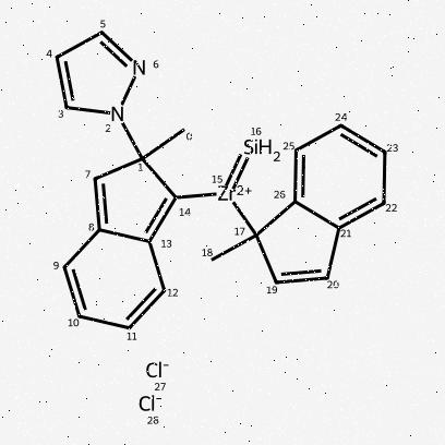 CC1(n2cccn2)C=c2ccccc2=[C]1[Zr+2](=[SiH2])[C]1(C)C=Cc2ccccc21.[Cl-].[Cl-]